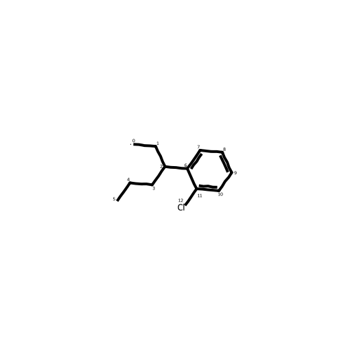 [CH2]CC(CCC)c1ccccc1Cl